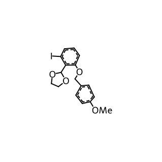 COc1ccc(COc2cccc(I)c2C2OCCO2)cc1